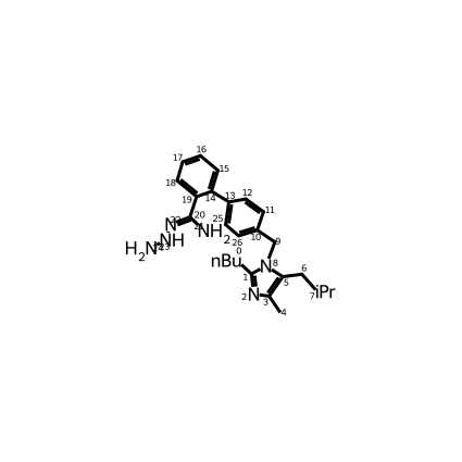 CCCCc1nc(C)c(CC(C)C)n1Cc1ccc(-c2ccccc2/C(N)=N/NN)cc1